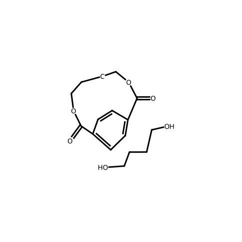 O=C1OCCCCOC(=O)c2ccc1cc2.OCCCCO